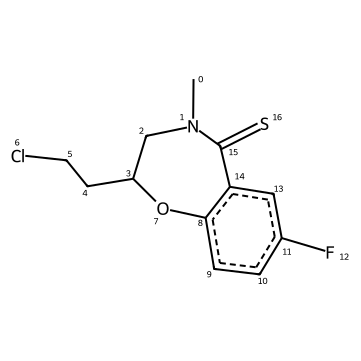 CN1CC(CCCl)Oc2ccc(F)cc2C1=S